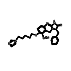 COc1c(OCCCCCn2ccnc2)ccc2c1CN1C(=N2)NC(=O)C1Cc1ccccc1